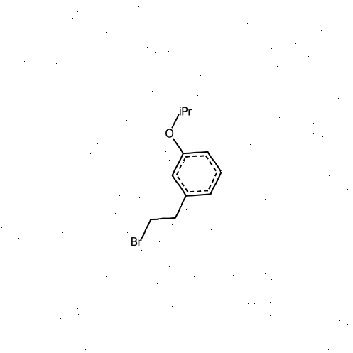 CC(C)Oc1cccc(CCBr)c1